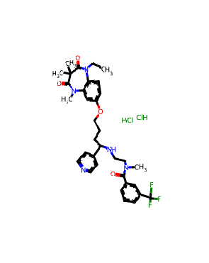 CCN1C(=O)C(C)(C)C(=O)N(C)c2cc(OCCCC(NCCN(C)C(=O)c3cccc(C(F)(F)F)c3)c3ccncc3)ccc21.Cl.Cl